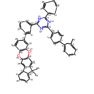 Cc1ccccc1-c1ccc(-c2nc(-c3ccccc3)nc(-c3cccc(-c4ccc5c(c4)Oc4cc6c(cc4O5)-c4ccccc4C6(C)C)c3)n2)cc1